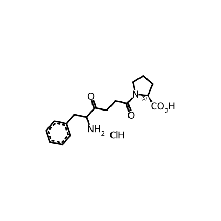 Cl.NC(Cc1ccccc1)C(=O)CCC(=O)N1CCC[C@H]1C(=O)O